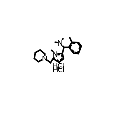 Cc1ccccc1C(c1ccc(CN2CCCCC2)n1C)N(C)C.Cl.Cl